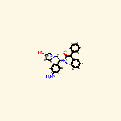 CN(C(=O)C(c1ccccc1)c1ccccc1)[C@H](CN1CC[C@H](O)C1)c1ccc(N)cc1